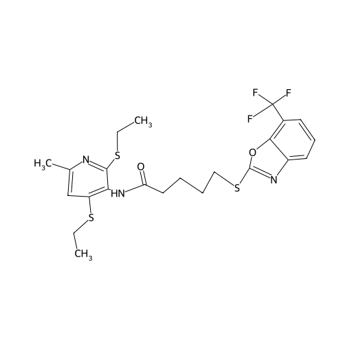 CCSc1cc(C)nc(SCC)c1NC(=O)CCCCSc1nc2cccc(C(F)(F)F)c2o1